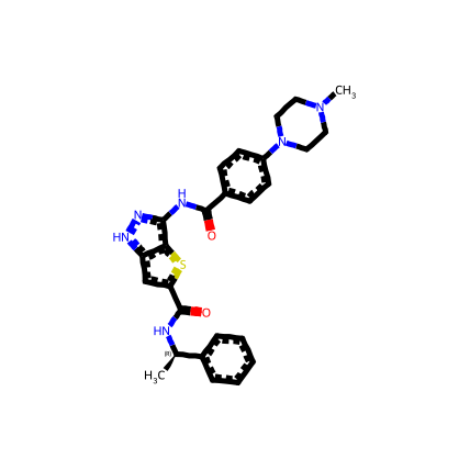 C[C@@H](NC(=O)c1cc2[nH]nc(NC(=O)c3ccc(N4CCN(C)CC4)cc3)c2s1)c1ccccc1